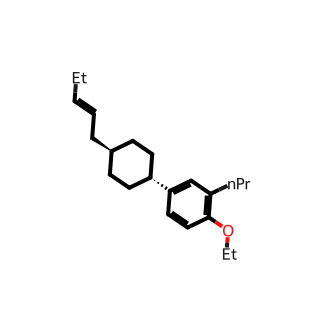 CCC=CC[C@H]1CC[C@H](c2ccc(OCC)c(CCC)c2)CC1